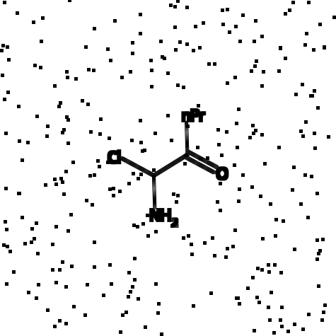 CCCC(=O)C(N)Cl